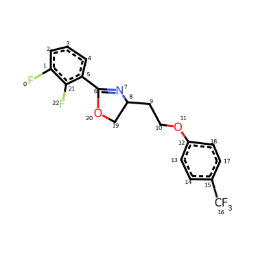 Fc1cccc(C2=NC(CCOc3ccc(C(F)(F)F)cc3)CO2)c1F